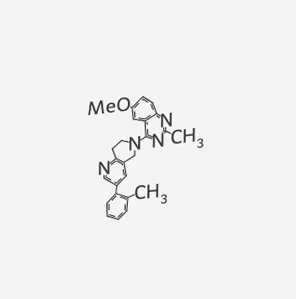 COc1ccc2nc(C)nc(N3CCc4ncc(-c5ccccc5C)cc4C3)c2c1